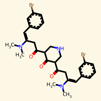 CN(C)/C(=C/c1cccc(Br)c1)CC(=O)C1CNCC(C(=O)C/C(=C\c2cccc(Br)c2)N(C)C)C1=O